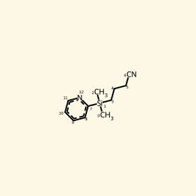 C[Si](C)(CCCC#N)c1ccccn1